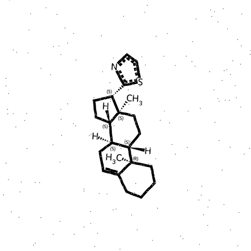 C[C@]12CC[C@H]3[C@@H](CC=C4CCCC[C@@]43C)[C@@H]1CC[C@@H]2c1nccs1